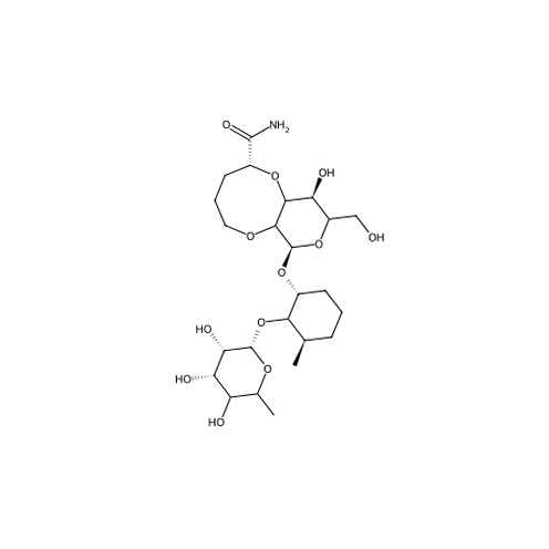 CC1O[C@@H](OC2[C@H](C)CCC[C@H]2O[C@@H]2OC(CO)[C@H](O)C3O[C@@H](C(N)=O)CCCOC32)[C@@H](O)[C@@H](O)C1O